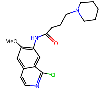 COc1cc2ccnc(Cl)c2cc1NC(=O)CCCN1CCCCC1